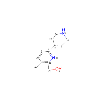 Cc1ccc(C2CCNCC2)nc1CO